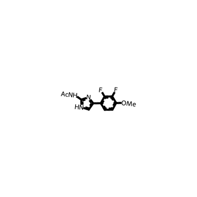 COc1ccc(-c2c[nH]c(NC(C)=O)n2)c(F)c1F